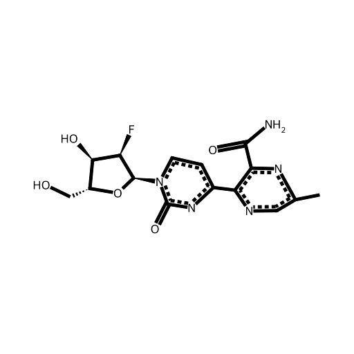 Cc1cnc(-c2ccn([C@H]3O[C@H](CO)[C@@H](O)[C@H]3F)c(=O)n2)c(C(N)=O)n1